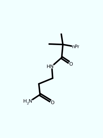 CCCC(C)(C)C(=O)NCCC(N)=O